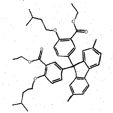 CCOC(=O)c1cc(C2(c3ccc(OCCC(C)C)c(C(=O)OCC)c3)c3cc(C)ccc3-c3ccc(C)cc32)ccc1OCCC(C)C